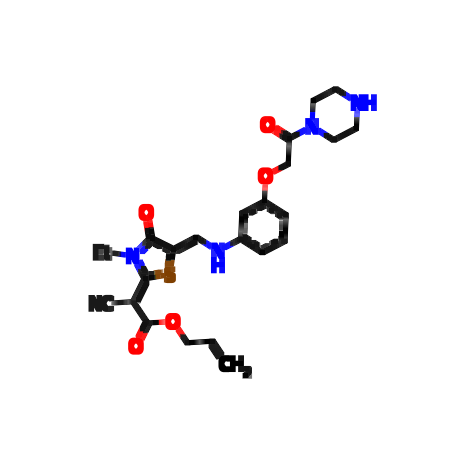 C=CCOC(=O)C(C#N)=c1sc(=CNc2cccc(OCC(=O)N3CCNCC3)c2)c(=O)n1CC